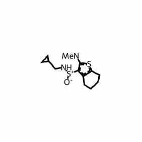 CNc1sc2c(c1[S+]([O-])NCC1CC1)CCCC2